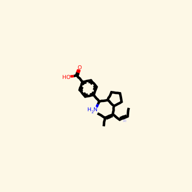 C/C=C\C(=C(C)C)C1CCCC1C(N)c1ccc(C(=O)O)cc1